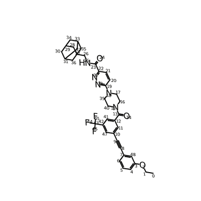 CCOc1cccc(C#Cc2cc(C(=O)N3CCN(c4ccc(C(=O)NCC56CC7CC(CC(C7)C5)C6)nn4)CC3)cc(C(F)(F)F)c2)c1